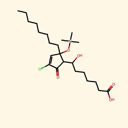 CCCCCCCCC1(O[Si](C)(C)C)C=C(Cl)C(=O)C1C(O)CCCCCC(=O)O